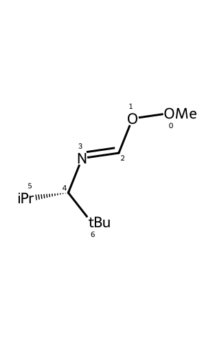 COO/C=N/[C@@H](C(C)C)C(C)(C)C